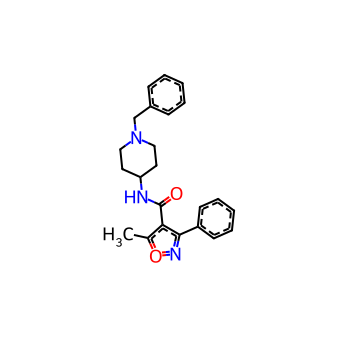 Cc1onc(-c2ccccc2)c1C(=O)NC1CCN(Cc2ccccc2)CC1